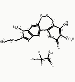 Cn1c(CNC(C)(C)C)cc2cc3c(cc21)SCCc1c-3[nH]c(=O)c(C(=O)O)c1O.O=C(O)C(F)(F)F